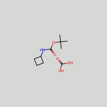 CC(C)(C)OC(=O)NC1CCC1.O=C(O)O